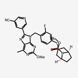 COc1nc(C)c2nc(-c3cncc(C#N)c3)n(Cc3ccc(O[C@]4(C)C[C@H]5CC[C@@H](C4)N5C(=O)OC(C)(C)C)cc3F)c2n1